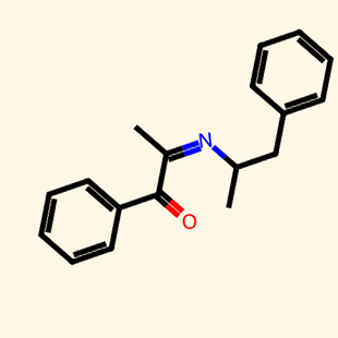 CC(=NC(C)Cc1ccccc1)C(=O)c1ccccc1